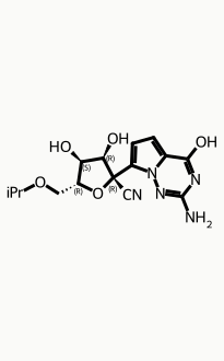 CC(C)OC[C@H]1O[C@@](C#N)(c2ccc3c(O)nc(N)nn23)[C@H](O)[C@@H]1O